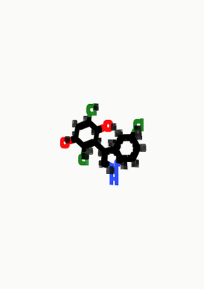 O=C1C=C(Cl)C(=O)C(c2c[nH]c3ccc(Cl)cc23)=C1Cl